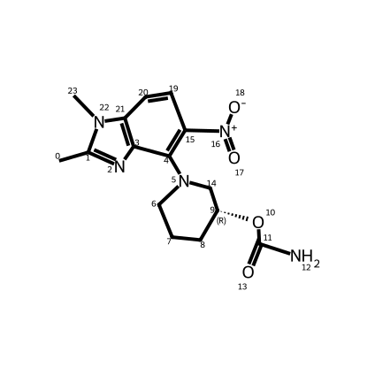 Cc1nc2c(N3CCC[C@@H](OC(N)=O)C3)c([N+](=O)[O-])ccc2n1C